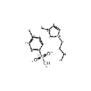 CCCCN1C=CN(C)C1.Cc1ccc(S(=O)(=O)O)cc1